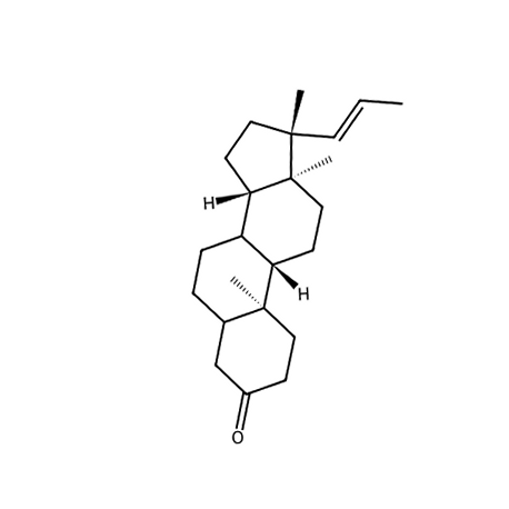 C/C=C/[C@@]1(C)CC[C@H]2C3CCC4CC(=O)CC[C@]4(C)[C@H]3CC[C@@]21C